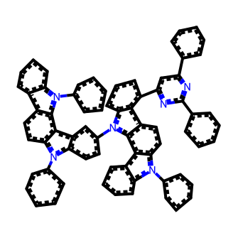 c1ccc(-c2cc(-c3cccc4c3c3ccc5c(c6ccccc6n5-c5ccccc5)c3n4-c3ccc4c(c3)c3c(ccc5c6ccccc6n(-c6ccccc6)c53)n4-c3ccccc3)nc(-c3ccccc3)n2)cc1